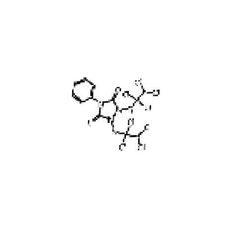 O=c1n(-c2ccccc2)c(=O)n(SC(Cl)(Cl)C(Cl)Cl)n1SC(Cl)(Cl)C(Cl)Cl